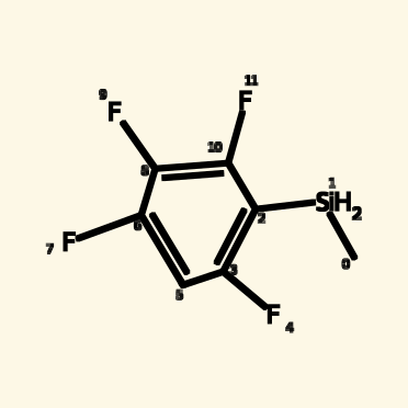 C[SiH2]c1c(F)cc(F)c(F)c1F